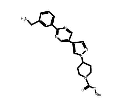 CC(C)(C)OC(=O)N1CCC(n2cc(-c3cnc(-c4cccc(CN)c4)nc3)cn2)CC1